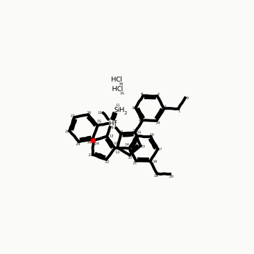 CCc1cccc(C2=[C]([Hf]([CH3])(=[SiH2])([C]3=C(c4cccc(CC)c4)C=CC3)[c]3ccccc3)CC=C2)c1.Cl.Cl